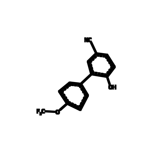 N#Cc1ccc(O)c(-c2ccc(OC(F)(F)F)cc2)c1